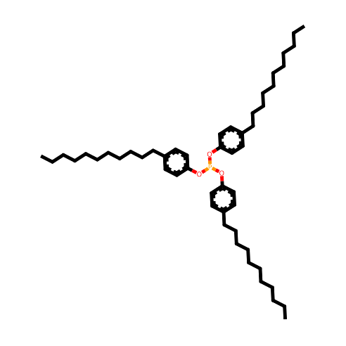 CCCCCCCCCCCc1ccc(OP(Oc2ccc(CCCCCCCCCCC)cc2)Oc2ccc(CCCCCCCCCCC)cc2)cc1